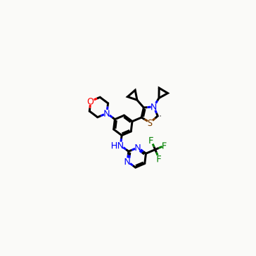 FC(F)(F)c1ccnc(Nc2cc(C3=C(C4CC4)N(C4CC4)[CH]S3)cc(N3CCOCC3)c2)n1